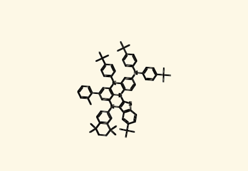 Cc1ccccc1-c1cc2c3c(c1)N(c1ccc4c(c1)C(C)(C)CCC4(C)C)c1c(sc4ccc(C(C)(C)C)cc14)B3c1ccc(N(c3ccc(C(C)(C)C)cc3)c3ccc(C(C)(C)C)cc3)cc1N2c1ccc(C(C)(C)C)cc1